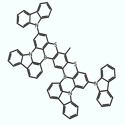 Cc1c2c(cc3c1Sc1cc(-n4c5ccccc5c5ccccc54)cc4c1B3c1cccc3c5ccccc5n-4c13)B1c3c(cc(-n4c5ccccc5c5ccccc54)cc3-n3c4ccccc4c4cccc1c43)S2